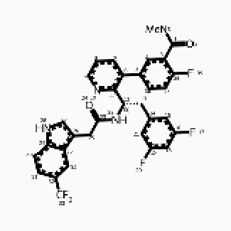 CNC(=O)c1cc(-c2cccnc2[C@H](Cc2cc(F)cc(F)c2)NC(=O)Cc2c[nH]c3ccc(C(F)(F)F)cc23)ccc1F